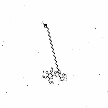 CC[C@@H](O)[C@@H](O)[C@H](COC1OC(CO)C(O)C(O)C1O)NC(=O)CCCCCCCCCCCCCCCCCCCCCC12CC(F)(C1)C2